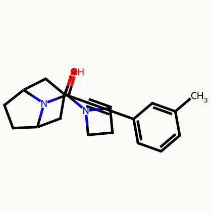 Cc1cccc(C#CC2(O)CC3CCC(C2)N3C(=O)N2CCC2)c1